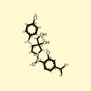 [O-][S+](c1ccc(C(F)F)cc1Cl)N1C[C@H](Sc2ccc(Cl)cc2)C(O)(CO)C1